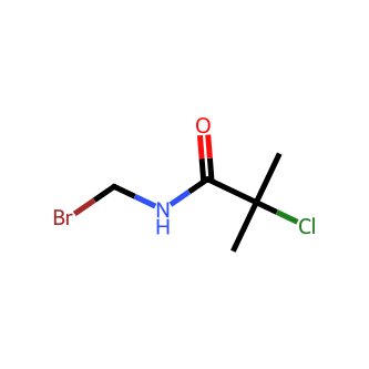 CC(C)(Cl)C(=O)NCBr